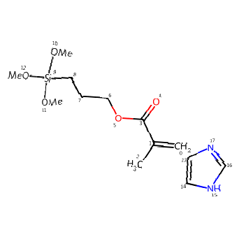 C=C(C)C(=O)OCCC[Si](OC)(OC)OC.c1c[nH]cn1